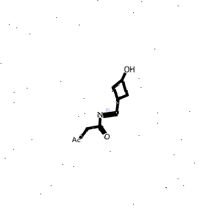 CC(=O)CC(=O)/N=C/C1CC(O)C1